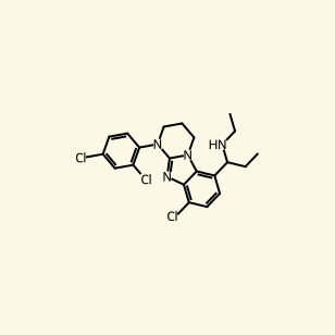 CCNC(CC)c1ccc(Cl)c2nc3n(c12)CCCN3c1ccc(Cl)cc1Cl